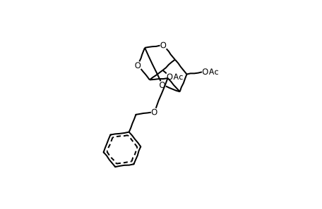 CC(=O)OC1C2OC3OC(C2OCc2ccccc2)C(OC(C)=O)C1O3